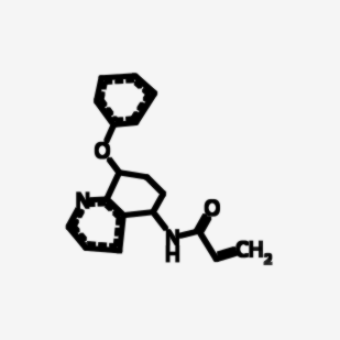 C=CC(=O)NC1CCC(Oc2ccccc2)c2ncccc21